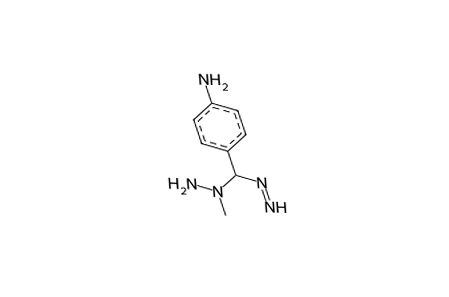 CN(N)C(N=N)c1ccc(N)cc1